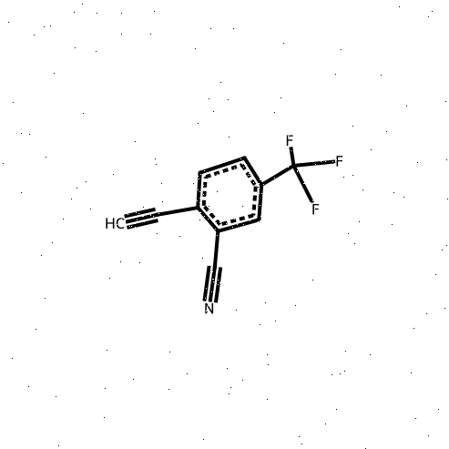 C#Cc1ccc(C(F)(F)F)cc1C#N